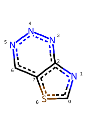 c1nc2nnncc2s1